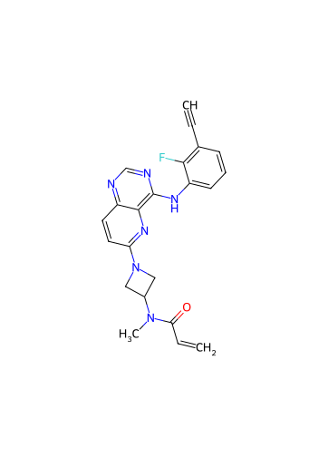 C#Cc1cccc(Nc2ncnc3ccc(N4CC(N(C)C(=O)C=C)C4)nc23)c1F